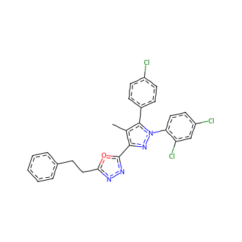 Cc1c(-c2nnc(CCc3ccccc3)o2)nn(-c2ccc(Cl)cc2Cl)c1-c1ccc(Cl)cc1